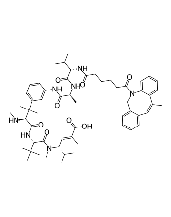 CN[C@H](C(=O)N[C@H](C(=O)N(C)[C@H](/C=C(\C)C(=O)O)C(C)C)C(C)(C)C)C(C)(C)c1cccc(NC(=O)[C@H](C)NC(=O)[C@@H](NC(=O)CCCCC(=O)N2Cc3ccccc3/C=C(/C)c3ccccc32)C(C)C)c1